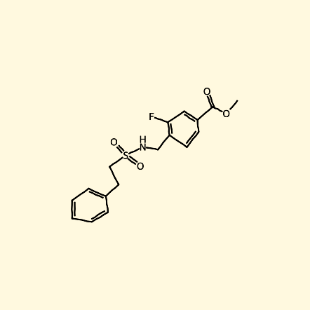 COC(=O)c1ccc(CNS(=O)(=O)CCc2ccccc2)c(F)c1